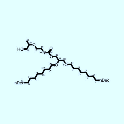 CCCCCCCCCCCCCCCCCCOCC(COC(=O)NCCOC(C)CO)OCCCCCCCCCCCCCCCCCC